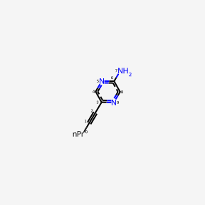 CCCC#Cc1cnc(N)cn1